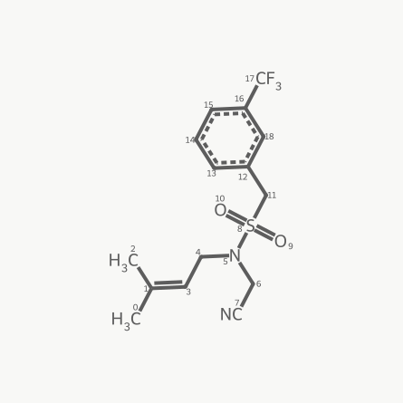 CC(C)=CCN(CC#N)S(=O)(=O)Cc1cccc(C(F)(F)F)c1